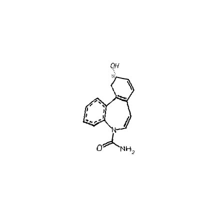 NC(=O)N1C=CC2=C(C[C@H](O)C=C2)c2ccccc21